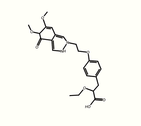 CCOC(Cc1ccc(OCCN2C=C3C=C(OC)C(OC)C(=O)C3=CN2)cc1)C(=O)O